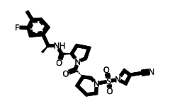 Cc1ccc([C@H](C)NC(=O)[C@H]2CCCN2C(=O)[C@H]2CCCN(S(=O)(=O)N3CC(C#N)C3)C2)cc1F